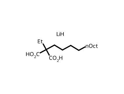 CCCCCCCCCCCCC(CC)(C(=O)O)C(=O)O.[LiH]